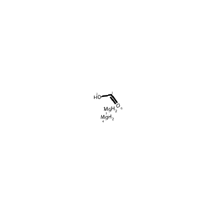 O=CO.[MgH2].[MgH2]